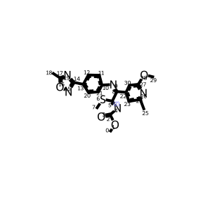 COC(=O)/N=C(\SC)C(=Nc1ccc(-c2noc(C)n2)cc1)c1cc(C)nc(OC)c1